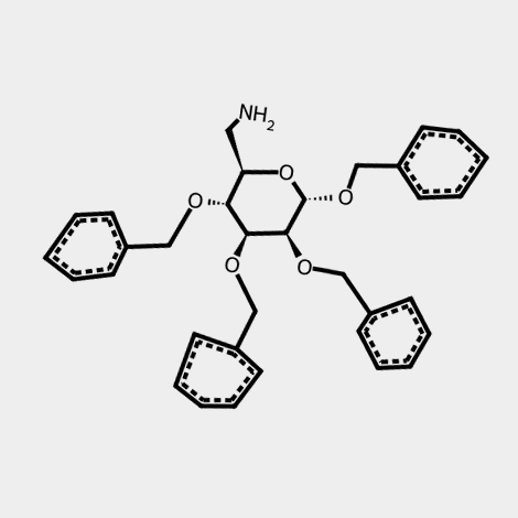 NC[C@H]1O[C@H](OCc2ccccc2)[C@@H](OCc2ccccc2)[C@@H](OCc2ccccc2)[C@@H]1OCc1ccccc1